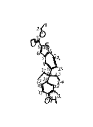 CCOC(=O)c1cc2cc(C(CC)(CC)c3ccc(O)c(C)c3)ccc2s1